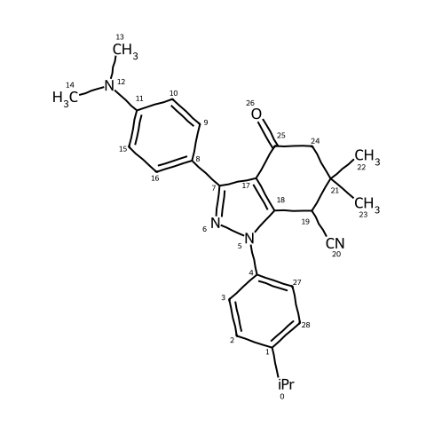 CC(C)c1ccc(-n2nc(-c3ccc(N(C)C)cc3)c3c2C(C#N)C(C)(C)CC3=O)cc1